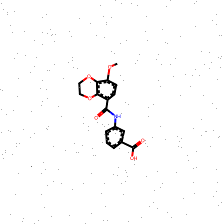 COc1ccc(C(=O)Nc2cccc(C(=O)O)c2)c2c1OCCO2